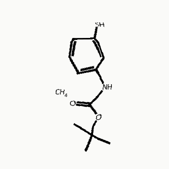 C.CC(C)(C)OC(=O)Nc1cccc(S)c1